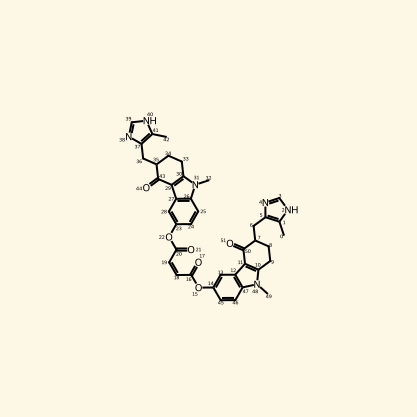 Cc1[nH]cnc1CC1CCc2c(c3cc(OC(=O)/C=C\C(=O)Oc4ccc5c(c4)c4c(n5C)CCC(Cc5nc[nH]c5C)C4=O)ccc3n2C)C1=O